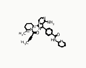 CC#CC(=O)N1[C@@H](C)CCC[C@H]1c1nc(-c2ccc(C(=O)Nc3ccccn3)cc2)c2c(N)nccn12